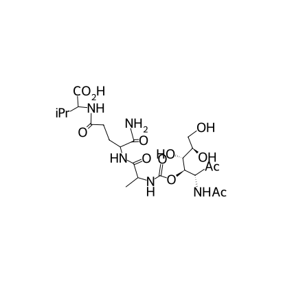 CC(=O)N[C@@H](C(C)=O)[C@@H](OC(=O)NC(C)C(=O)NC(CCC(=O)NC(C(=O)O)C(C)C)C(N)=O)[C@H](O)[C@H](O)CO